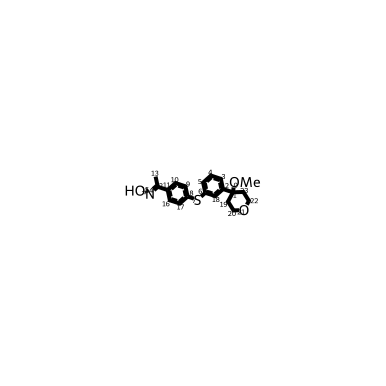 COC1(c2cccc(Sc3ccc(C(C)=NO)cc3)c2)CCOCC1